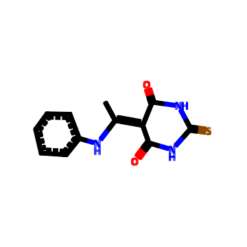 CC(Nc1ccccc1)=C1C(=O)NC(=S)NC1=O